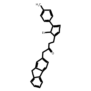 CCC1C(CCC(=O)Cc2ccc3c(c2)Cc2ccccc2-3)=CC=C1c1ccc(C)cc1